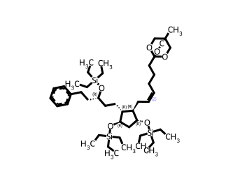 CC[Si](CC)(CC)O[C@@H](CCc1ccccc1)CC[C@@H]1[C@@H](C/C=C\CCCC23OCC(C)(CO2)CO3)[C@H](O[Si](CC)(CC)CC)C[C@H]1O[Si](CC)(CC)CC